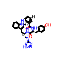 O=C(N[C@H](CNc1nn[nH]n1)Cc1c[nH]c2ccccc12)[C@H](Cc1ccc(O)cc1)NC(=O)[C@@H]1C[C@@H]2C=C[C@H]1C2